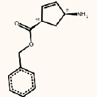 N[C@@H]1C=C[C@H](C(=O)OCc2ccccc2)C1